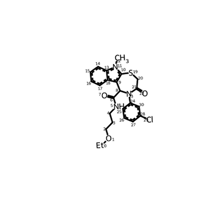 CCOCCCNC(=O)C1c2c(n(C)c3ccccc23)SCC(=O)N1c1cccc(Cl)c1